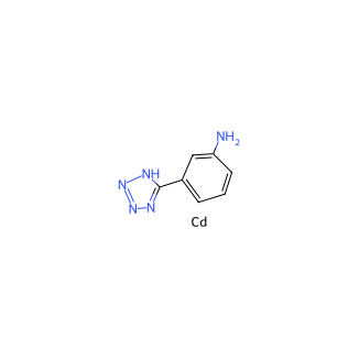 Nc1cccc(-c2nnn[nH]2)c1.[Cd]